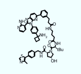 Cc1ncsc1-c1ccc(CNC(=O)[C@@H]2C[C@@H](O)CN2C(=O)[C@@H](NC(=O)CCCNC(=O)CCc2cccc(-c3ccc4nc(-c5cccnc5N)n(-c5ccc(C6(N)CCC6)cc5)c4n3)c2)C(C)(C)C)cc1